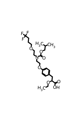 CCOC(Cc1ccc(OCCN(CCOCCCC(F)(F)F)C(=O)OCC(C)C)cc1)C(=O)O